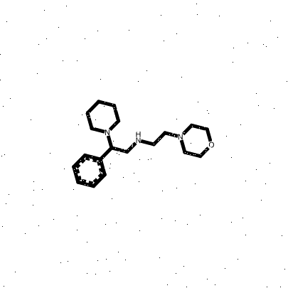 c1ccc(C(CNCCN2CCOCC2)N2CCCCC2)cc1